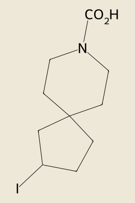 O=C(O)N1CCC2(CCC(I)C2)CC1